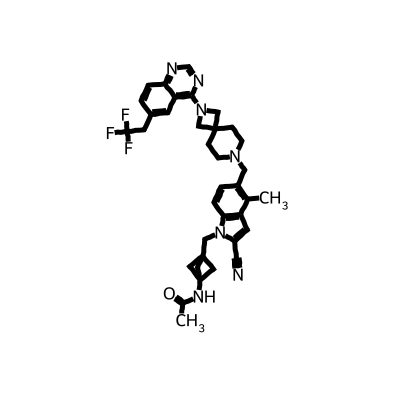 CC(=O)NC12CC(Cn3c(C#N)cc4c(C)c(CN5CCC6(CC5)CN(c5ncnc7ccc(CC(F)(F)F)cc57)C6)ccc43)(C1)C2